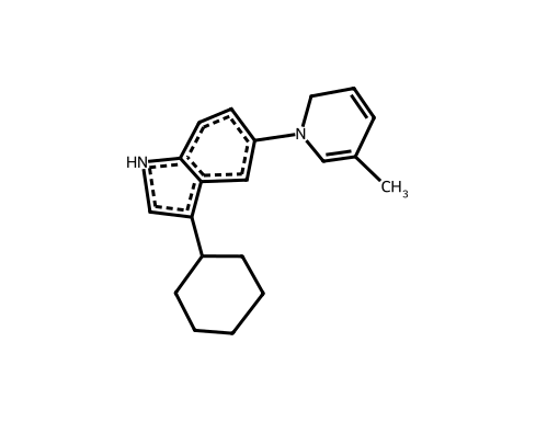 CC1=CN(c2ccc3[nH]cc(C4CCCCC4)c3c2)CC=C1